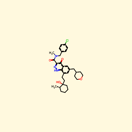 C[C@@H]1CCCC[C@@]1(O)CCc1cc(CC2CCOCC2)cc2c(=O)c(C(=O)N(C)Cc3ccc(Cl)cc3)n[nH]c12